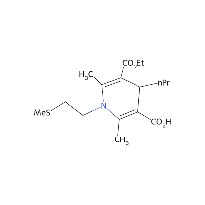 CCCC1C(C(=O)O)=C(C)N(CCSC)C(C)=C1C(=O)OCC